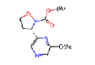 COc1cncc([C@@H]2CCON2C(=O)OC(C)(C)C)n1